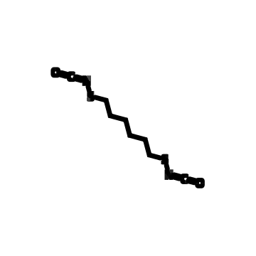 O=C=NSCCCCCCSN=C=O